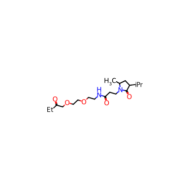 CCC(=O)COCCOCCNC(=O)CCN1C(=O)C(C(C)C)CC1C